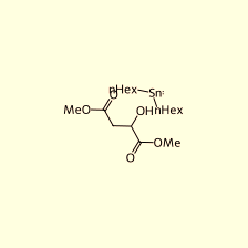 CCCCC[CH2][Sn][CH2]CCCCC.COC(=O)CC(O)C(=O)OC